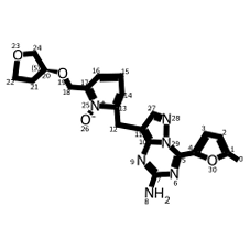 Cc1ccc(-c2nc(N)nc3c(Cc4cccc(CO[C@H]5CCOC5)[n+]4[O-])cnn23)o1